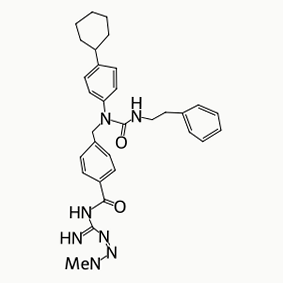 CN/N=N\C(=N)NC(=O)c1ccc(CN(C(=O)NCCc2ccccc2)c2ccc(C3CCCCC3)cc2)cc1